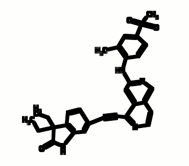 CCC1(CC)C(=O)Nc2cc(C#Cc3nccc4cnc(Nc5ccc(S(C)(=O)=O)cc5C)cc34)ccc21